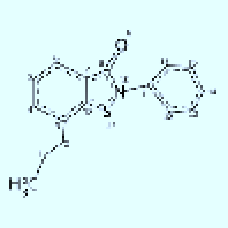 CCCc1cccc2c(=O)n(-c3ccccc3)sc12